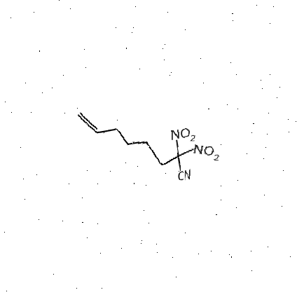 C=CCCCCC(C#N)([N+](=O)[O-])[N+](=O)[O-]